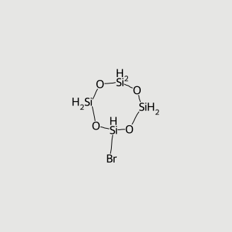 Br[SiH]1O[SiH2]O[SiH2]O[SiH2]O1